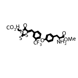 COC(=O)[C@@H](N)Cc1ccc(Oc2ccc(/C=C3\SC(=S)N(CC(=O)O)C3=O)cc2C(F)(F)F)cc1